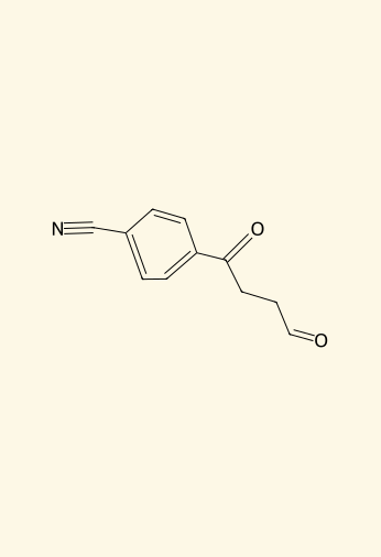 N#Cc1ccc(C(=O)CCC=O)cc1